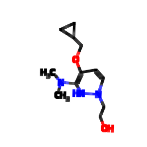 CN(C)C1=C(OCC2CC2)C=CN(CCO)N1